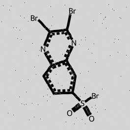 O=S(=O)(Br)c1ccc2nc(Br)c(Br)nc2c1